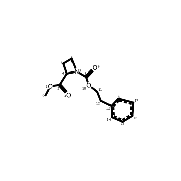 COC(=O)C1CCN1C(=O)OCCc1ccccc1